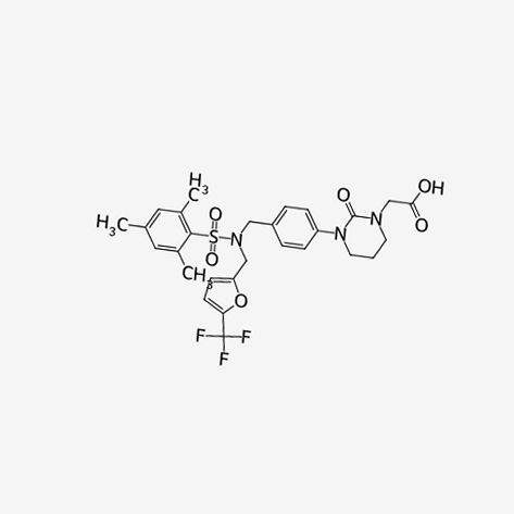 Cc1cc(C)c(S(=O)(=O)N(Cc2ccc(N3CCCN(CC(=O)O)C3=O)cc2)Cc2ccc(C(F)(F)F)o2)c(C)c1